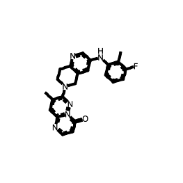 Cc1cc2nccc(=O)n2nc1N1CCc2ncc(Nc3cccc(F)c3C)cc2C1